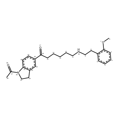 COc1ccccc1CCNCCCCCC(=O)c1ccc2c(c1)CCN2C(C)=O